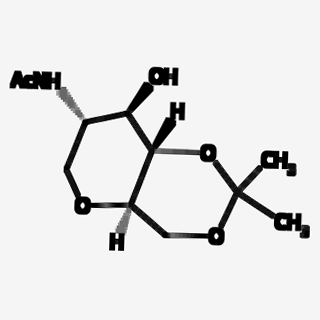 CC(=O)N[C@H]1CO[C@@H]2COC(C)(C)O[C@H]2[C@@H]1O